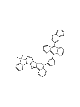 CC1(C)c2ccccc2-c2c1ccc1c2oc2c3ccccc3c(-c3cccc(-c4c5ccccc5c(-c5ccc6ccccc6c5)c5ccccc45)c3)cc12